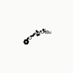 CC1N(CCCOCc2ccccc2)C=CN1CO[Si](C)(C)C(C)(C)C